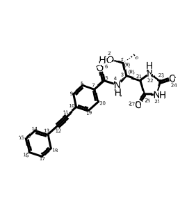 C[C@@H](O)[C@H](NC(=O)c1ccc(C#Cc2ccccc2)cc1)C1NC(=O)NC1=O